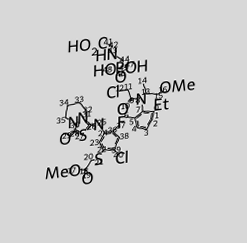 CCc1cccc(C)c1N(C(=O)CCl)C(C)COC.COC(=O)CSc1cc(/N=c2\sc(=O)n3n2CCCC3)c(F)cc1Cl.O=C(O)CNCP(=O)(O)O